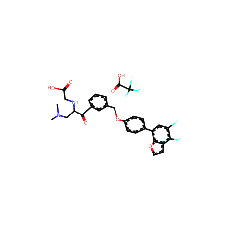 CN(C)CC(NCC(=O)O)C(=O)c1cccc(COc2ccc(-c3cc(F)c(F)c4ccoc34)cc2)c1.O=C(O)C(F)(F)F